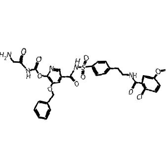 COc1ccc(Cl)c(C(=O)NCCc2ccc(S(=O)(=O)NC(=O)c3cnc(OC(=O)NC(=O)CN)c(OCc4ccccc4)c3)cc2)c1